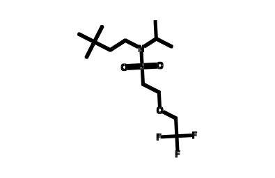 CC(C)N(CCC(C)(C)C)S(=O)(=O)CCOCC(F)(F)F